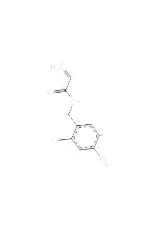 C=CC(=O)OCc1ccc(Cl)cc1Cl